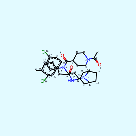 CC(=O)N1CCC(C(=O)N(CCCN2C3CCC2CC(NC(=O)Cc2ccc(Cl)cc2)C3)c2ccc(C)c(Cl)c2)CC1